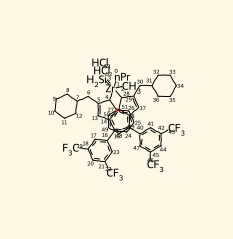 CC[CH2][Zr]([CH3])(=[SiH2])([CH]1C(CC2CCCCC2)=Cc2c(-c3cc(C(F)(F)F)cc(C(F)(F)F)c3)cccc21)[CH]1C(CC2CCCCC2)=Cc2c(-c3cc(C(F)(F)F)cc(C(F)(F)F)c3)cccc21.Cl.Cl